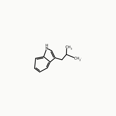 [CH2]C(C)Cc1c[nH]c2ccccc12